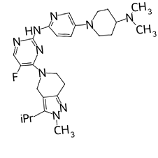 CC(C)c1c2c(nn1C)CCN(c1nc(Nc3ccc(N4CCC(N(C)C)CC4)cn3)ncc1F)C2